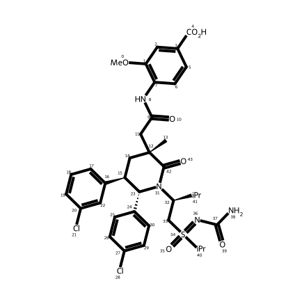 COc1cc(C(=O)O)ccc1NC(=O)C[C@@]1(C)C[C@H](c2cccc(Cl)c2)[C@@H](c2ccc(Cl)cc2)N([C@H](CS(=O)(=NC(N)=O)C(C)C)C(C)C)C1=O